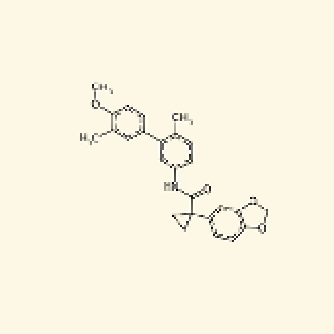 COc1ccc(-c2cc(NC(=O)C3(c4ccc5c(c4)OCO5)CC3)ccc2C)cc1C